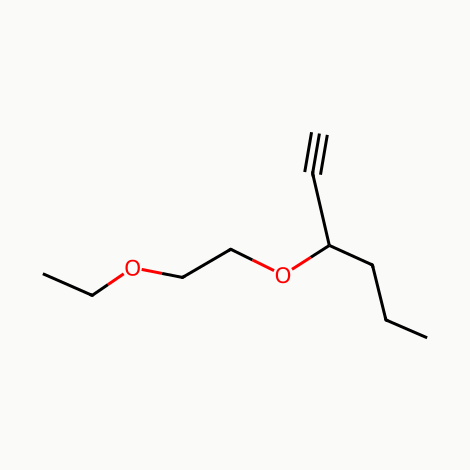 C#CC(CCC)OCCOCC